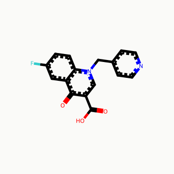 O=C(O)c1cn(Cc2ccncc2)c2ccc(F)cc2c1=O